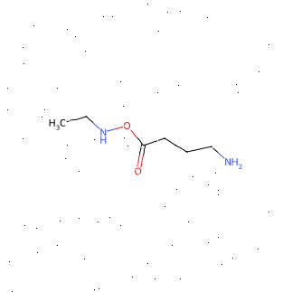 CCNOC(=O)CCCN